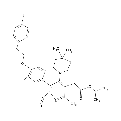 Cc1nc(C=O)c(-c2ccc(OCCc3ccc(F)cc3)c(F)c2)c(N2CCC(C)(C)CC2)c1CC(=O)OC(C)C